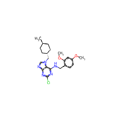 COc1ccc(CNc2nc(Cl)nc3ncn(C[C@H]4CC[C@H](C)CC4)c23)c(OC)c1